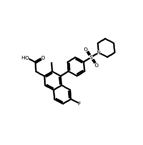 Cc1c(CC(=O)O)cc2ccc(F)cc2c1-c1ccc(S(=O)(=O)N2CCCCC2)cc1